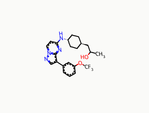 CC(O)C[C@H]1CC[C@H](Nc2ccn3ncc(-c4cccc(OC(F)(F)F)c4)c3n2)CC1